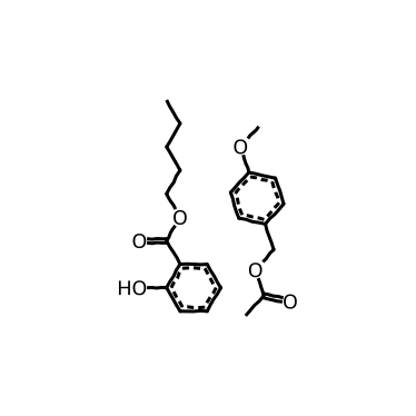 CCCCCOC(=O)c1ccccc1O.COc1ccc(COC(C)=O)cc1